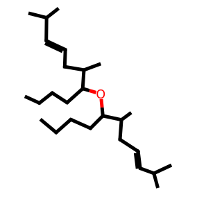 CCCCC(OC(CCCC)C(C)CC=CC(C)C)C(C)CC=CC(C)C